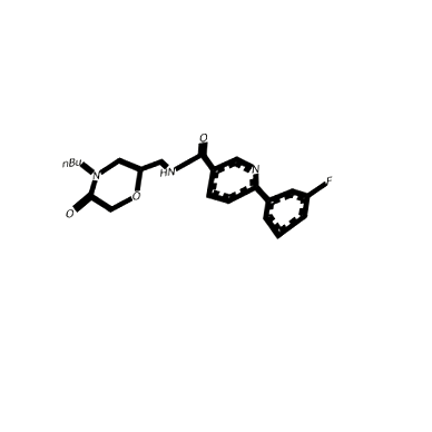 CCCCN1CC(CNC(=O)c2ccc(-c3cccc(F)c3)nc2)OCC1=O